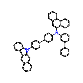 c1ccc(-c2cccc(N(c3ccc(-c4ccc(-n5c6ccccc6c6cc7ccccc7cc65)cc4)cc3)c3cc4ccccc4c4ccccc34)c2)cc1